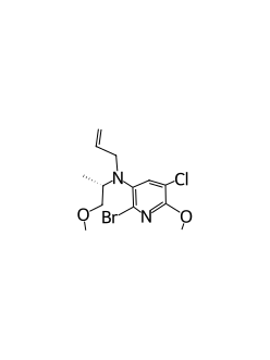 C=CCN(c1cc(Cl)c(OC)nc1Br)[C@@H](C)COC